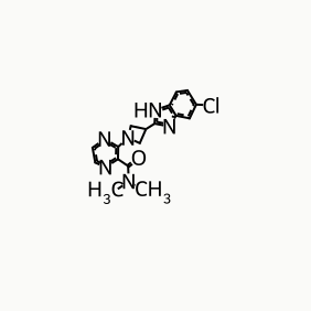 CN(C)C(=O)c1nccnc1N1CC(c2nc3cc(Cl)ccc3[nH]2)C1